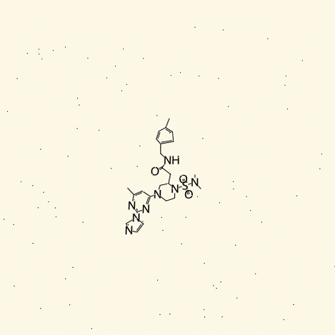 Cc1ccc(CNC(=O)CC2CN(c3cc(C)nc(-n4ccnc4)n3)CCN2S(=O)(=O)N(C)C)cc1